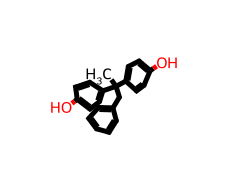 CC(Cc1ccccc1)(c1ccc(O)cc1)c1ccc(O)cc1